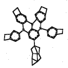 c1cc2c(cc1N1c3cc4c(cc3B3c5cc6c(cc5N(c5ccc7c(c5)CC7)c5cc(C78CC9CC%10(CC%10C9C7)C8)cc1c53)CC6)CC4)CC2